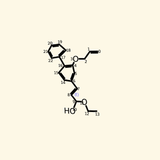 C=CCOc1cc(/C=C/C(O)OCC)ccc1-c1ccccc1